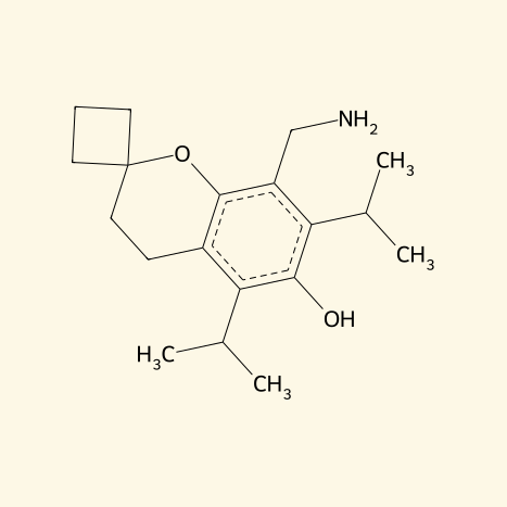 CC(C)c1c(O)c(C(C)C)c2c(c1CN)OC1(CCC1)CC2